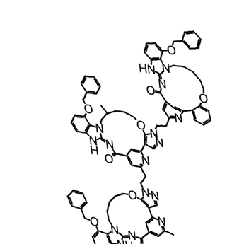 Cc1cc2cc(n1)-c1cnn(CCc3cc4cc(n3)-c3cnn(CCc5cc6cc(n5)-c5ccccc5OCCCCCN5/C(=N/C6=O)Nc6cccc(OCc7ccccc7)c65)c3OCCCC(C)CN3/C(=N/C4=O)Nc4cccc(OCc5ccccc5)c43)c1OCCCCCN1/C(=N/C2=O)Nc2cccc(OCc3ccccc3)c21